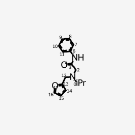 CC(C)N(CC(=O)Nc1ccccc1)Cc1ccco1